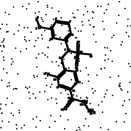 COc1cccc(N(Cc2ccc(C(=O)NN)cc2F)S(C)(=O)=O)c1